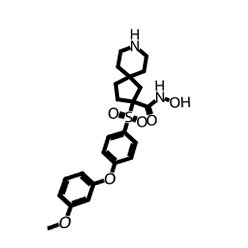 COc1cccc(Oc2ccc(S(=O)(=O)C3(C(=O)NO)CCC4(CCNCC4)C3)cc2)c1